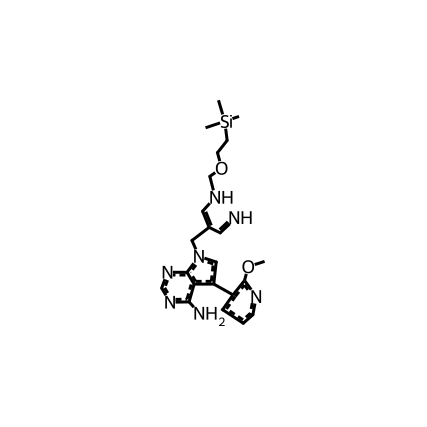 COc1ncccc1-c1cn(C/C(C=N)=C/NCOCC[Si](C)(C)C)c2ncnc(N)c12